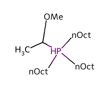 CCCCCCCC[PH](CCCCCCCC)(CCCCCCCC)C(C)OC